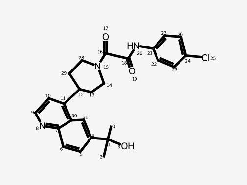 CC(C)(O)c1ccc2nccc(C3CCN(C(=O)C(=O)Nc4ccc(Cl)cc4)CC3)c2c1